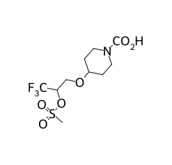 CS(=O)(=O)OC(COC1CCN(C(=O)O)CC1)C(F)(F)F